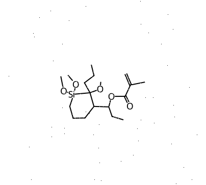 C=C(C)C(=O)OC(CC)C1CCC[Si](OC)(OC)C1(CCC)OC